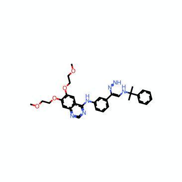 COCCOc1cc2ncnc(Nc3cccc(/C(=C/NC(C)(C)c4ccccc4)N=N)c3)c2cc1OCCOC